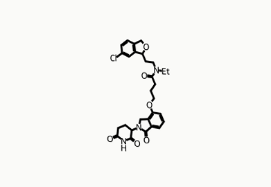 CCN(CCC1OCc2ccc(Cl)cc21)C(=O)CCCOc1cccc2c1CN(C1CCC(=O)NC1=O)C2=O